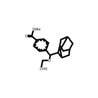 COC(=O)c1ccc(C(OCC=O)C2C3CC4CC(C3)CC2C4)cc1